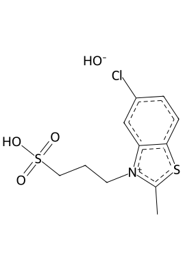 Cc1sc2ccc(Cl)cc2[n+]1CCCS(=O)(=O)O.[OH-]